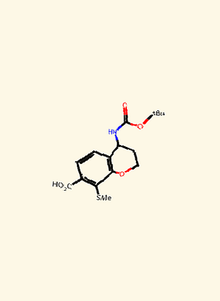 CSc1c(C(=O)O)ccc2c1OCCC2NC(=O)OC(C)(C)C